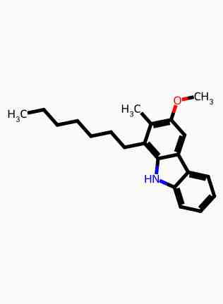 CCCCCCCc1c(C)c(OC)cc2c1[nH]c1ccccc12